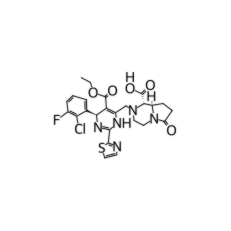 CCOC(=O)C1=C(CN2CCN3C(=O)CC[C@@H]3[C@H]2C(=O)O)NC(c2nccs2)=N[C@H]1c1cccc(F)c1Cl